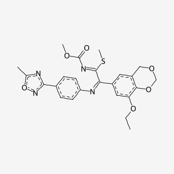 CCOc1cc(C(=Nc2ccc(-c3noc(C)n3)cc2)C(=NC(=O)OC)SC)cc2c1OCOC2